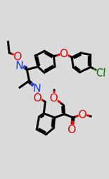 CCO/N=C(/C(C)=N/OCc1ccccc1/C(=C\OC)C(=O)OC)c1ccc(Oc2ccc(Cl)cc2)cc1